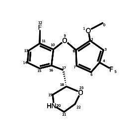 COc1cc(F)ccc1Oc1c(F)cccc1C[C@H]1CNCCO1